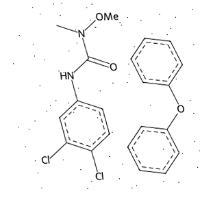 CON(C)C(=O)Nc1ccc(Cl)c(Cl)c1.c1ccc(Oc2ccccc2)cc1